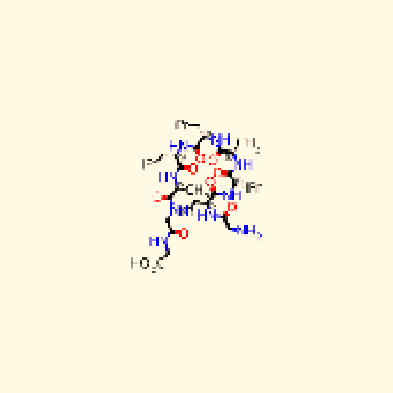 CC(C)C[C@H](NC(=O)CN)C(=O)N[C@H](C(=O)N[C@@H](C)C(=O)N[C@@H](CC(C)C)C(=O)N[C@@H](CC(C)C)C(=O)N[C@@H](C)C(=O)NCC(=O)NCC(=O)O)C(C)C